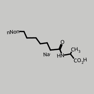 CCCCCCCCCCCCCCCC(=O)NC(C)C(=O)O.[Na]